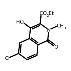 CCOC(=O)c1c(O)c2cc(Cl)ccc2c(=O)n1C